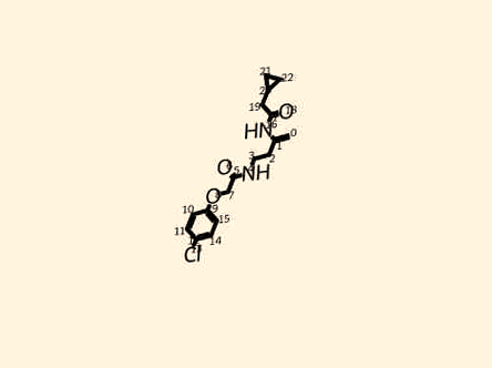 C=C(CCNC(=O)COc1ccc(Cl)cc1)NC(=O)CC1CC1